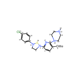 COc1ccc(N2CCN(c3ccc(Cl)cc3)S2)nc1N1CCN(C)CC1